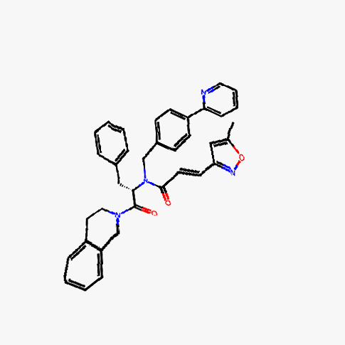 Cc1cc(C=CC(=O)N(Cc2ccc(-c3ccccn3)cc2)[C@@H](Cc2ccccc2)C(=O)N2CCc3ccccc3C2)no1